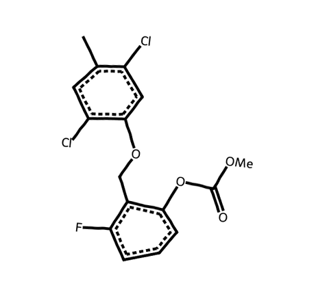 COC(=O)Oc1cccc(F)c1COc1cc(Cl)c(C)cc1Cl